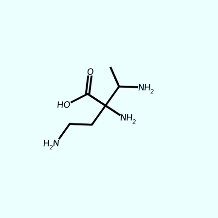 CC(N)C(N)(CCN)C(=O)O